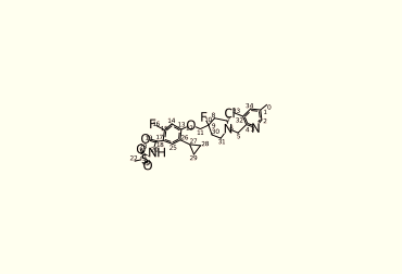 Cc1cnc(CN2CCC(F)(COc3cc(F)c(C(=O)NS(C)(=O)=O)cc3C3CC3)CC2)c(Cl)c1